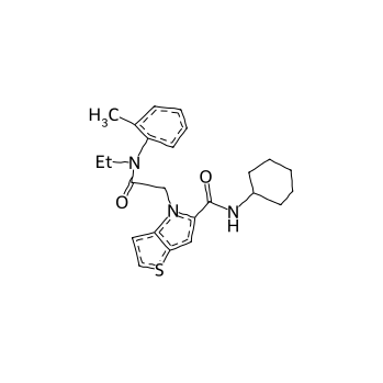 CCN(C(=O)Cn1c(C(=O)NC2CCCCC2)cc2sccc21)c1ccccc1C